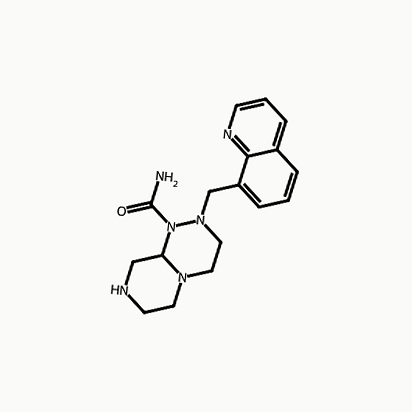 NC(=O)N1C2CNCCN2CCN1Cc1cccc2cccnc12